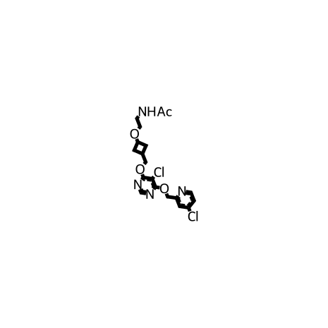 CC(=O)NCCOC1CC(COc2ncnc(OCc3cc(Cl)ccn3)c2Cl)C1